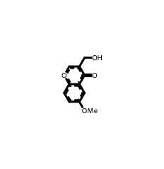 COc1ccc2occ(CO)c(=O)c2c1